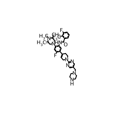 C[C@@H]1CN(c2cc(F)c(C3=CCN(c4ncc(CN5CCNCC5)cn4)CC3)cc2NC(=O)c2cccc(F)c2C(F)(F)F)C[C@H](C)N1C